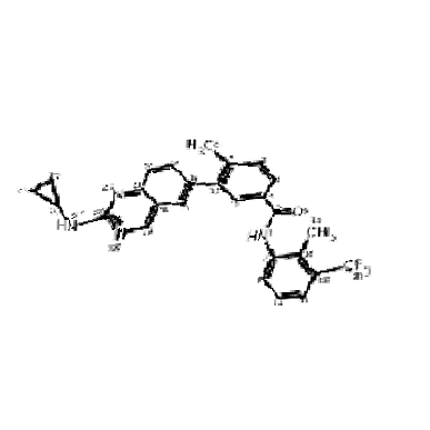 Cc1ccc(C(=O)Nc2cccc(C(F)(F)F)c2C)cc1-c1ccc2nc(NC3CC3)ncc2c1